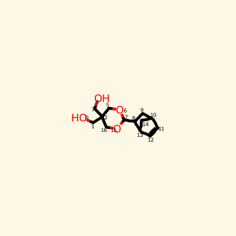 OCC1(CO)COC(C2CC3C=CC2C3)OC1